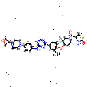 N#Cc1cc(-c2ncnc(Nc3ccc(N4CCN(C5COC5)CC4)cc3)n2)ccc1OC1CCN(C(=O)C2CSC(=O)N2)CC1(F)F